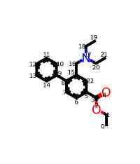 CCOC(=O)c1ccc(-c2ccccc2)c(CN(CC)CC)c1